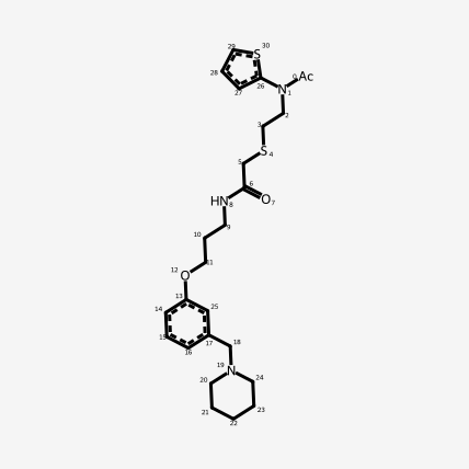 CC(=O)N(CCSCC(=O)NCCCOc1cccc(CN2CCCCC2)c1)c1cccs1